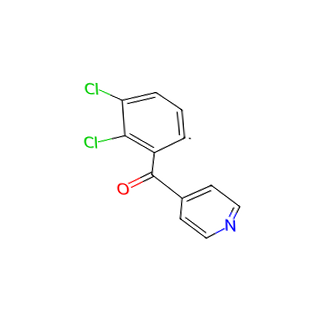 O=C(c1ccncc1)c1[c]ccc(Cl)c1Cl